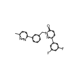 Cc1ccc(-c2cccc(Cn3nc(-c4cc(F)cc(F)c4)ccc3=O)c2)nn1